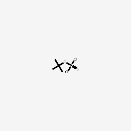 CC(C)(C)OP(=S)(Cl)Cl